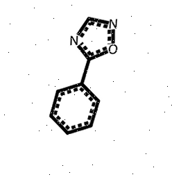 c1ccc(-c2ncno2)cc1